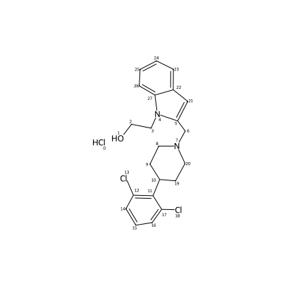 Cl.OCCn1c(CN2CCC(c3c(Cl)cccc3Cl)CC2)cc2ccccc21